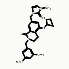 COc1cc(CN2CCc3c(OC4CCC4)cc(Cn4ccn(C)c4=N)cc3C2=O)cc(OC)c1